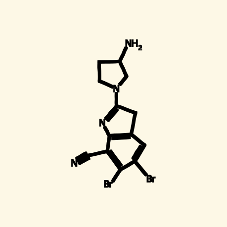 N#Cc1c(Br)c(Br)cc2c1N=C(N1CCC(N)C1)C2